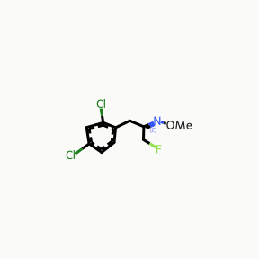 CO/N=C(\CF)Cc1ccc(Cl)cc1Cl